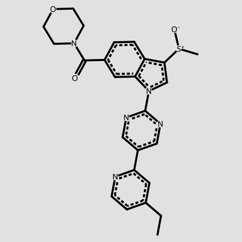 CCc1ccnc(-c2cnc(-n3cc([S+](C)[O-])c4ccc(C(=O)N5CCOCC5)cc43)nc2)c1